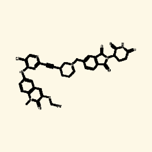 CC(=O)COc1cc2cc(Nc3nc(C#CC4CCCN(Cc5ccc6c(c5)C(=O)N(C5CCC(=O)NC5=O)C6=O)C4)ncc3Cl)ccc2n(C)c1=O